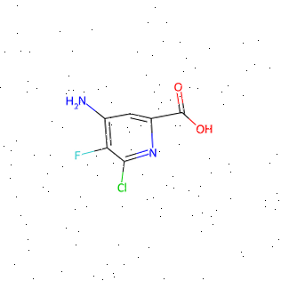 Nc1cc(C(=O)O)nc(Cl)c1F